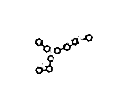 c1ccc(-c2ccc(N(c3ccc(-c4ccc5c(c4)oc4cc6nc(-c7ccccc7)oc6cc45)cc3)c3ccc(-c4cccc5c4sc4ccccc45)cc3)cc2)cc1